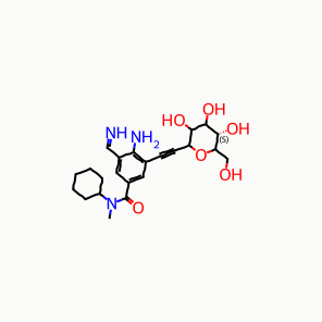 CN(C(=O)c1cc(C#CC2OC(CO)[C@@H](O)C(O)C2O)c(N)c(C=N)c1)C1CCCCC1